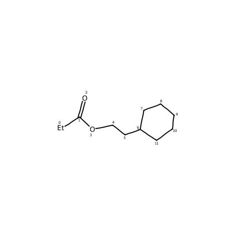 CCC(=O)OCC[C]1CCCCC1